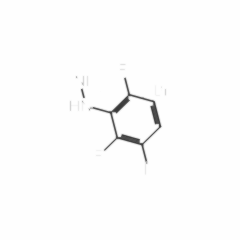 Br.NNc1c(F)ccc(F)c1F